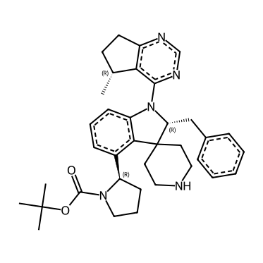 C[C@@H]1CCc2ncnc(N3c4cccc([C@H]5CCCN5C(=O)OC(C)(C)C)c4C4(CCNCC4)[C@H]3Cc3ccccc3)c21